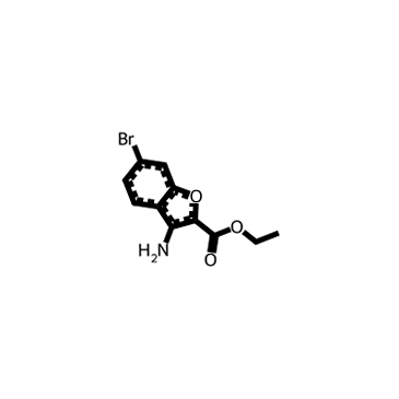 CCOC(=O)c1oc2cc(Br)ccc2c1N